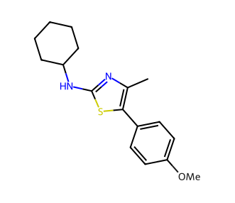 COc1ccc(-c2sc(NC3CCCCC3)nc2C)cc1